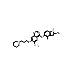 Cc1cc2c(F)c(Oc3ncnc4cc(OCCCN5CCCCC5)c(C)cc34)ccc2[nH]1